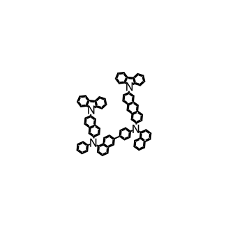 c1ccc(N(c2ccc3cc(-n4c5ccccc5c5ccccc54)ccc3c2)c2cccc3cc(-c4ccc(N(c5ccc6cc7cc(-n8c9ccccc9c9ccccc98)ccc7cc6c5)c5cccc6ccccc56)cc4)ccc23)cc1